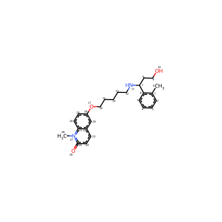 Cc1ccccc1C(CCO)NCCCCCOc1ccc2c(ccc(=O)n2C)c1